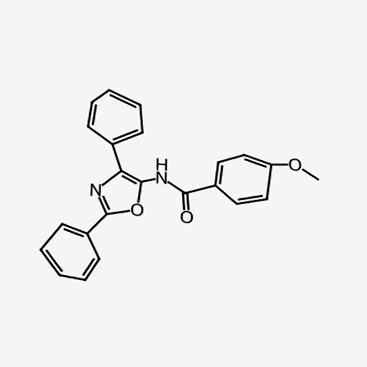 COc1ccc(C(=O)Nc2oc(-c3ccccc3)nc2-c2ccccc2)cc1